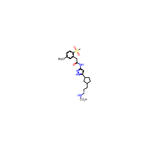 COc1ccc(S(C)(=O)=O)c(CC(=O)Nc2cc(C3CCC(CCCNC(=O)O)C3)[nH]n2)c1